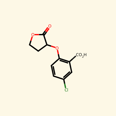 O=C(O)c1cc(Cl)ccc1OC1CCOC1=O